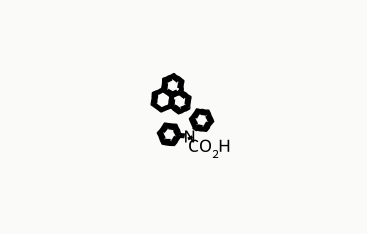 C1=Cc2cccc3cccc(c23)C1.O=C(O)N(c1ccccc1)c1ccccc1